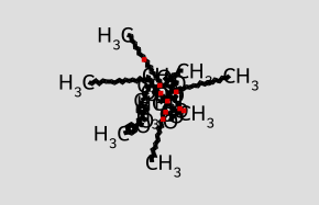 CCCCCCCCCCCCCCCCC(C)CC(C(=O)OCCOc1ccc(C(=O)CC(=O)c2ccc(C)cc2)cc1)C(C(=O)O)C(CCCCCCCCCCCCCCCC)CC1C(=O)N(CCCC)C(=O)C1C(CCCCCCCCCCCCCCCC)CC(C(=O)NCCCC)C(C(=O)O)C(CCCCCCCCCCCCCCCC)CC1C(=O)OC(=O)C1C